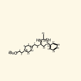 CC(C)COCCN1CCN(CC[C@H](CSc2ccccc2)NC(C)S)CC1